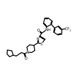 O=C(Nc1ccccc1-c1cccc(C(F)(F)F)c1)c1csc(C2CCN(C(=O)CCC3CCCC3)CC2)n1